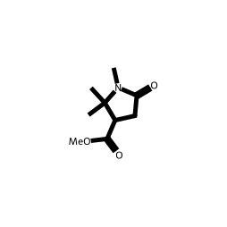 COC(=O)C1CC(=O)N(C)C1(C)C